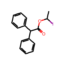 CC(I)OC(=O)C(c1ccccc1)c1ccccc1